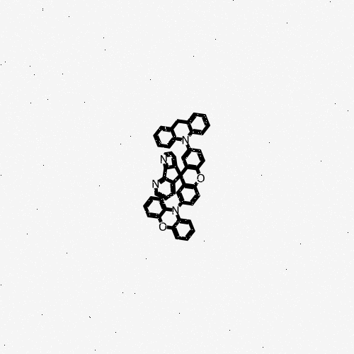 c1ccc2c(c1)Cc1ccccc1N2c1ccc2c(c1)C1(c3cc(N4c5ccccc5Oc5ccccc54)ccc3O2)c2cccnc2-c2ncccc21